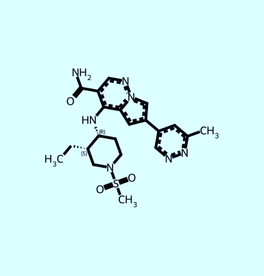 CC[C@H]1CN(S(C)(=O)=O)CC[C@H]1Nc1c(C(N)=O)cnn2cc(-c3cnnc(C)c3)cc12